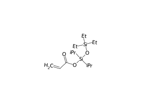 C=CC(=O)O[Si](O[Si](CC)(CC)CC)(C(C)C)C(C)C